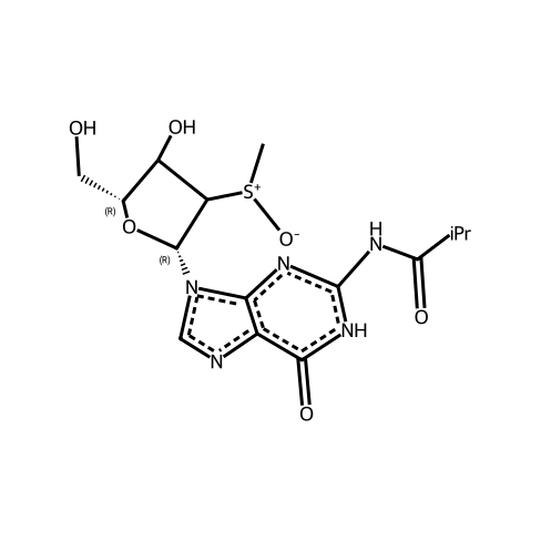 CC(C)C(=O)Nc1nc2c(ncn2[C@@H]2O[C@H](CO)C(O)C2[S+](C)[O-])c(=O)[nH]1